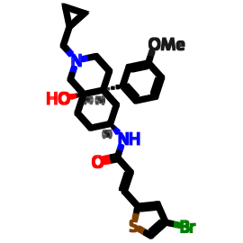 COc1cccc([C@@]23CCN(CC4CC4)C[C@@]2(O)CC[C@H](NC(=O)C=Cc2cc(Br)cs2)C3)c1